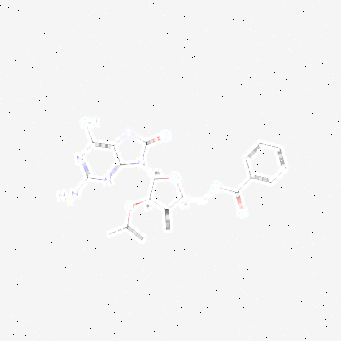 C=C(C)O[C@@H]1C(=C)[C@@H](COC(=O)c2ccccc2)O[C@H]1n1c(=O)sc2c(O)nc(N)nc21